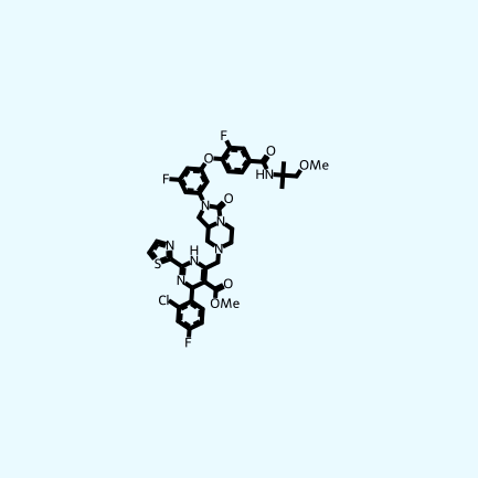 COCC(C)(C)NC(=O)c1ccc(Oc2cc(F)cc(N3CC4CN(CC5=C(C(=O)OC)C(c6ccc(F)cc6Cl)N=C(c6nccs6)N5)CCN4C3=O)c2)c(F)c1